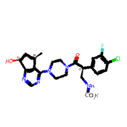 C[C@@H]1C[C@H](O)c2ncnc(N3CCN(C(=O)[C@H](CNC(=O)O)c4ccc(Cl)c(F)c4)CC3)c21